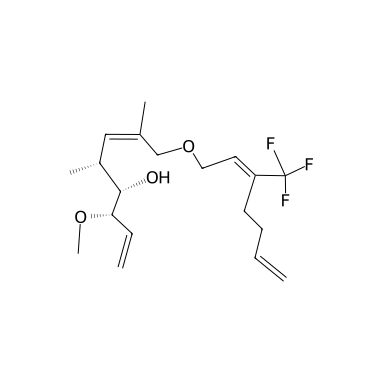 C=CCC/C(=C\COC/C(C)=C\[C@@H](C)[C@H](O)[C@H](C=C)OC)C(F)(F)F